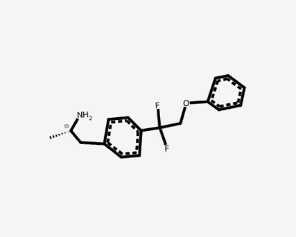 C[C@H](N)Cc1ccc(C(F)(F)COc2ccccc2)cc1